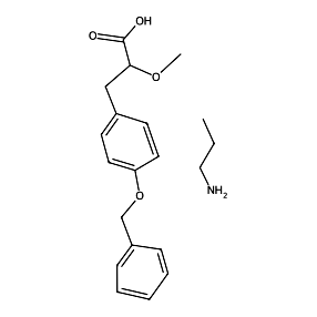 CCCN.COC(Cc1ccc(OCc2ccccc2)cc1)C(=O)O